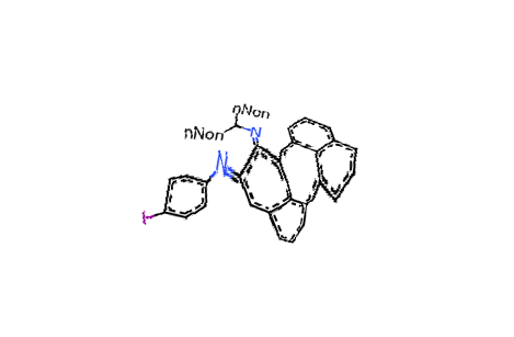 CCCCCCCCCC(CCCCCCCCC)N=c1c(=Nc2ccc(I)cc2)cc2cccc3c4cccc5cccc(c1c23)c54